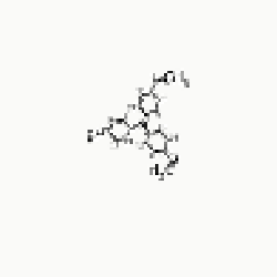 CCc1ccc(N(c2ccc(Br)cc2)c2ccc(OC)cc2)cc1